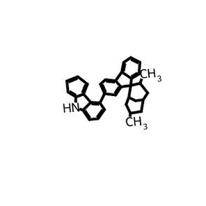 CC1CC2CC(C)C3(c4ccccc4-c4ccc(-c5cccc6[nH]c7ccccc7c56)cc43)C(C1)C2